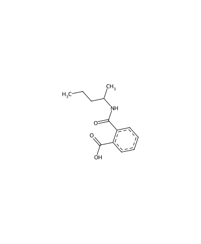 CCCC(C)NC(=O)c1ccccc1C(=O)O